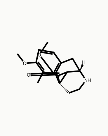 COC1=CC2[C@@H]3Cc4ccc(OC)c(C)c4[C@]2(CCN3)CC1=O